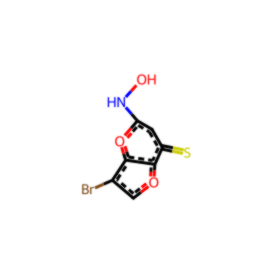 ONc1cc(=S)c2occ(Br)c2o1